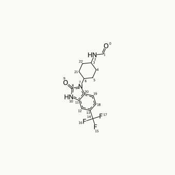 O=CNC1CCC(n2c(=O)[nH]c3cc(C(F)(F)F)ccc32)CC1